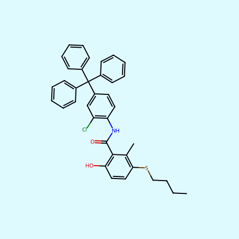 CCCCSc1ccc(O)c(C(=O)Nc2ccc(C(c3ccccc3)(c3ccccc3)c3ccccc3)cc2Cl)c1C